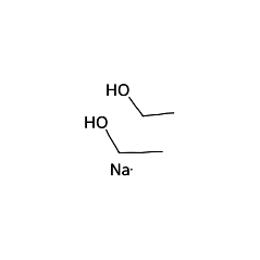 CCO.CCO.[Na]